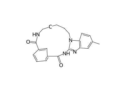 Cc1ccc2c(c1)nc1n2CCCCCNC(=O)c2cccc(c2)C(=O)N1